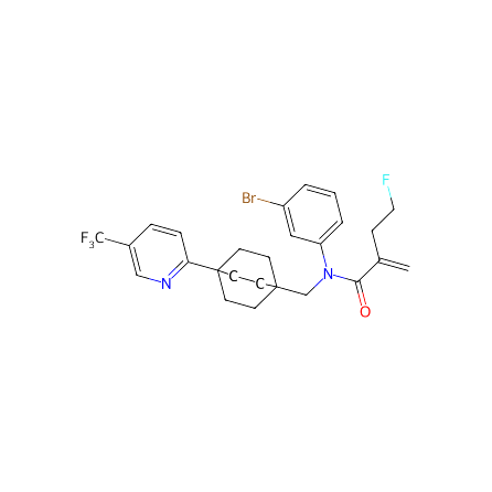 C=C(CCF)C(=O)N(CC12CCC(c3ccc(C(F)(F)F)cn3)(CC1)CC2)c1cccc(Br)c1